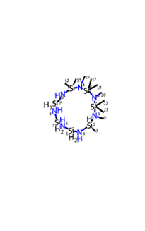 CN1[SiH](C)N[SiH2]N[SiH2]N[SiH2]N[Si](C)(C)N(C)[Si](C)(C)N(C)[Si]1(C)C